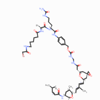 CC(=O)OC(C)/C=C\C(=O)N[C@@H]1C[C@H](C)[C@H](C/C=C(C)/C=C/[C@@H]2C[C@]3(CO3)C[C@@H](CC(=O)NCNC(=O)OCc3ccc(NC(=O)[C@H](CCCNC(N)=O)NC(=O)[C@@H](NC(=O)CCCCCNC(=O)CBr)C(C)C)cc3)O2)O[C@@H]1C